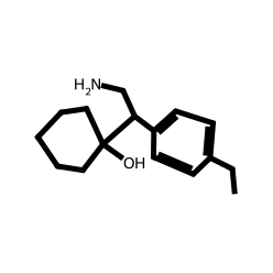 CCc1ccc(C(CN)C2(O)CCCCC2)cc1